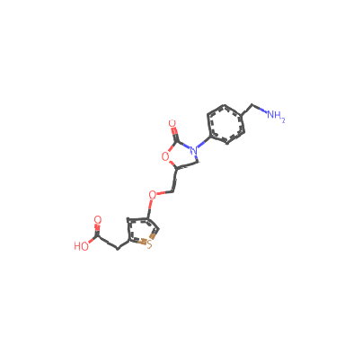 NCc1ccc(N2CC(COc3csc(CC(=O)O)c3)OC2=O)cc1